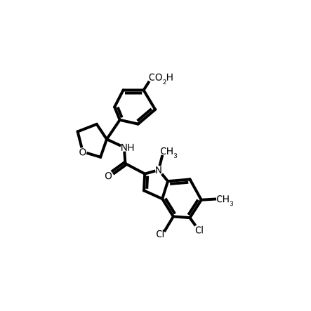 Cc1cc2c(cc(C(=O)NC3(c4ccc(C(=O)O)cc4)CCOC3)n2C)c(Cl)c1Cl